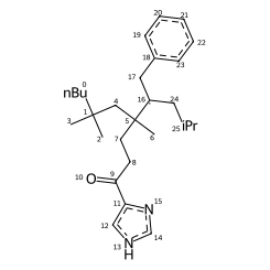 CCCCC(C)(C)CC(C)(CCC(=O)c1c[nH]cn1)[C](Cc1ccccc1)CC(C)C